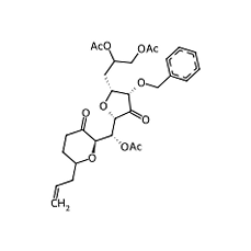 C=CCC1CCC(=O)[C@@H]([C@@H](OC(C)=O)[C@@H]2O[C@H](CC(COC(C)=O)OC(C)=O)[C@H](OCc3ccccc3)C2=O)O1